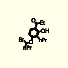 CCCc1c(OC(Br)CCC)ccc(C(=O)CC)c1O